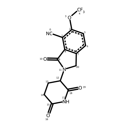 N#Cc1c(OC(F)(F)F)ccc2c1C(=O)N(C1CCC(=O)NC1=O)C2